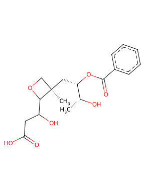 C[C@@H](O)[C@H](C[C@]1(C)COC1C(O)CC(=O)O)OC(=O)c1ccccc1